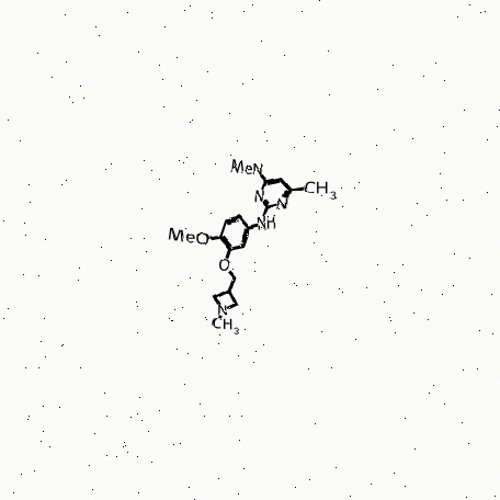 CNc1cc(C)nc(Nc2ccc(OC)c(OCC3CN(C)C3)c2)n1